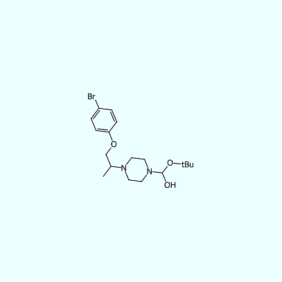 CC(COc1ccc(Br)cc1)N1CCN(C(O)OC(C)(C)C)CC1